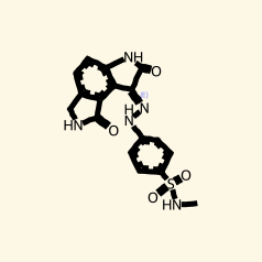 CNS(=O)(=O)c1ccc(N/N=C2/C(=O)Nc3ccc4c(c32)C(=O)NC4)cc1